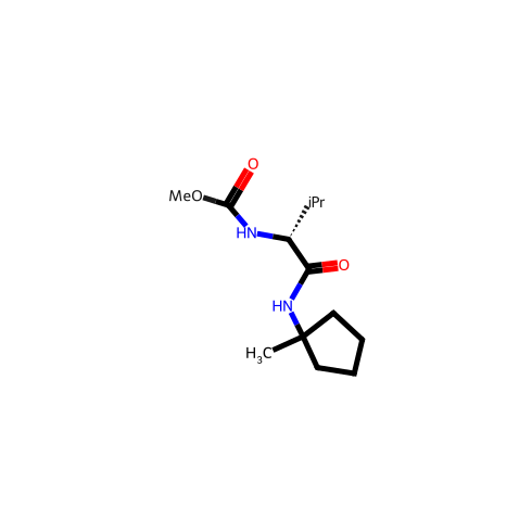 COC(=O)N[C@@H](C(=O)NC1(C)CCCC1)C(C)C